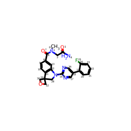 CN(CC(N)=O)C(=O)c1ccc2c(c1)N(c1ncc(-c3ccccc3F)cn1)CC21COC1